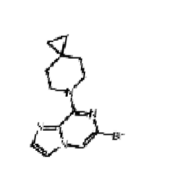 Brc1cn2ccnc2c(N2CCC3(CC2)CC3)n1